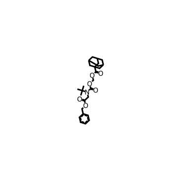 CC(C)(C)N(CC(=O)OCc1ccccc1)C(=O)OCOC(=O)C12CC3CC(CC(C3)C1)C2